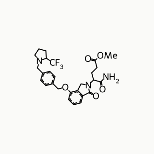 COC(=O)CCC(C(N)=O)N1Cc2c(OCc3ccc(CN4CCCC4C(F)(F)F)cc3)cccc2C1=O